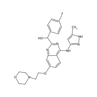 Cc1cc(Nc2nc(C(O)c3ccc(F)cc3)nc3cc(OCCN4CCOCC4)ccc23)n[nH]1